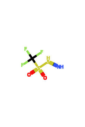 N=[SH]S(=O)(=O)C(F)(F)F